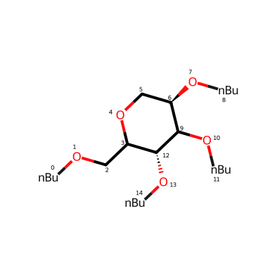 CCCCOCC1OC[C@@H](OCCCC)C(OCCCC)[C@@H]1OCCCC